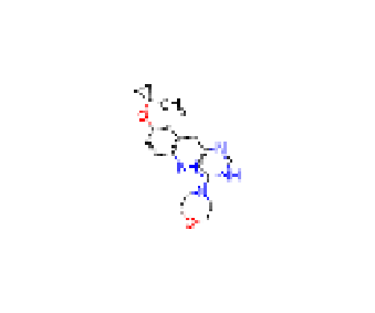 CC1(Oc2ccc(N)c(CC3=CC(N4CCOCC4)NC=N3)c2)CC1